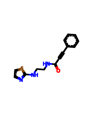 O=C(C#Cc1ccccc1)NCCNc1nccs1